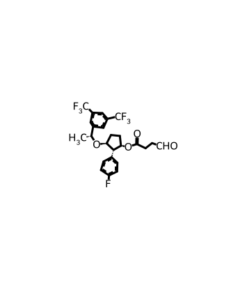 C[C@@H](O[C@H]1CC[C@@H](OC(=O)CCC=O)[C@@H]1c1ccc(F)cc1)c1cc(C(F)(F)F)cc(C(F)(F)F)c1